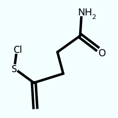 C=C(CCC(N)=O)SCl